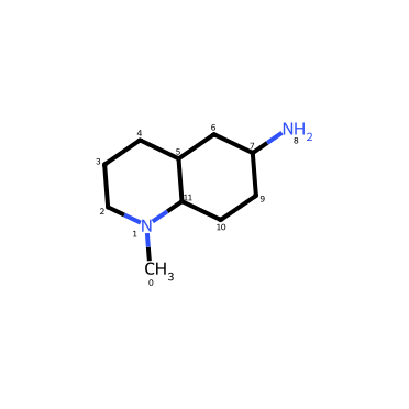 CN1CCCC2CC(N)CCC21